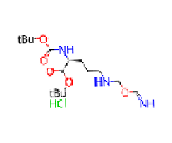 CC(C)(C)OC(=O)N[C@@H](CCCNCOC=N)C(=O)OC(C)(C)C.Cl